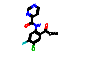 COC(=O)c1cc(Cl)c(F)cc1NC(=O)c1ccncn1